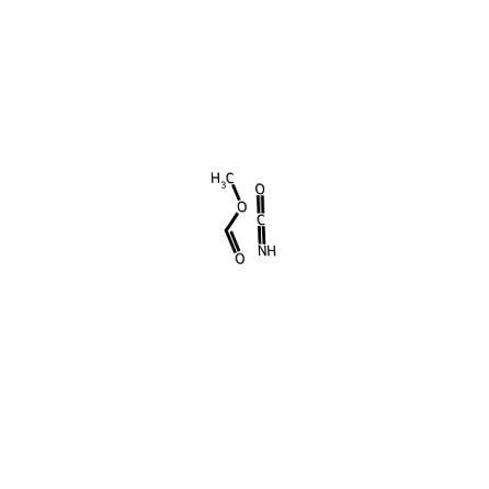 COC=O.N=C=O